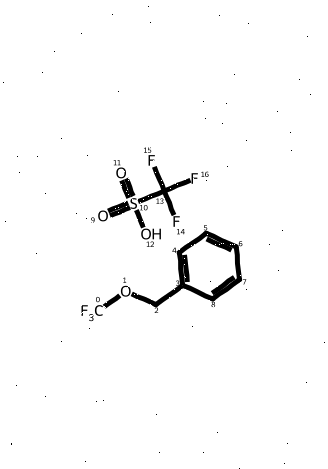 FC(F)(F)OCc1ccccc1.O=S(=O)(O)C(F)(F)F